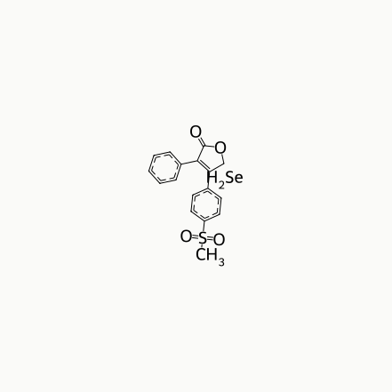 CS(=O)(=O)c1ccc(C2=C(c3ccccc3)C(=O)OC2)cc1.[SeH2]